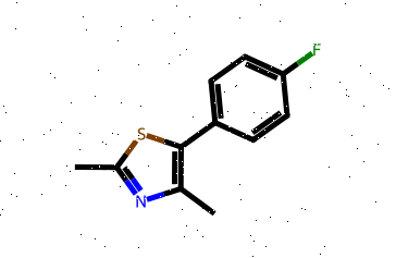 Cc1nc(C)c(-c2ccc(F)cc2)s1